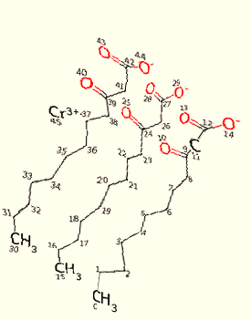 CCCCCCCCCC(=O)CC(=O)[O-].CCCCCCCCCC(=O)CC(=O)[O-].CCCCCCCCCC(=O)CC(=O)[O-].[Cr+3]